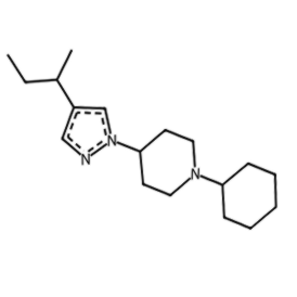 CCC(C)c1cnn(C2CCN(C3CCCCC3)CC2)c1